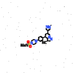 CNS(=O)(=O)N1CCN(c2ccc(-c3cc(-c4cnn(C)c4)cn4ncc(C#N)c34)cc2)CC1